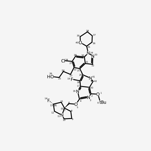 CC(C)(C)Oc1nc(OC[C@@]23CCCN2C[C@H](F)C3)nc2c(F)c(-c3c(CCCO)c(Cl)cc4c3cnn4C3CCCCO3)ncc12